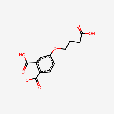 O=C(O)CCCOc1ccc(C(=O)O)c(C(=O)O)c1